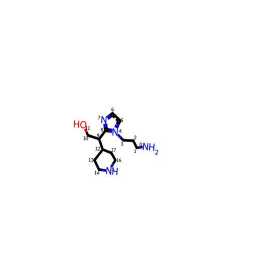 NCCCn1ccnc1C(CO)C1CCNCC1